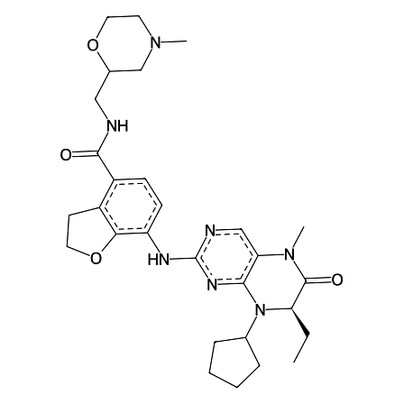 CC[C@@H]1C(=O)N(C)c2cnc(Nc3ccc(C(=O)NCC4CN(C)CCO4)c4c3OCC4)nc2N1C1CCCC1